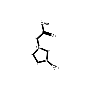 COC(=O)CN1CCN(C)C1